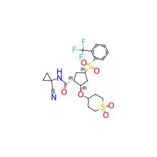 N#CC1(NC(=O)[C@@H]2C[C@@H](S(=O)(=O)c3ccccc3C(F)(F)F)C[C@H]2OC2CCS(=O)(=O)CC2)CC1